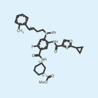 CCCN(CC/C=C/c1ccccc1C)c1cc(F)c(C(=O)N[C@H]2CCC[C@@H](C(=O)OC)C2)cc1NC(=O)c1coc(C2CC2)n1